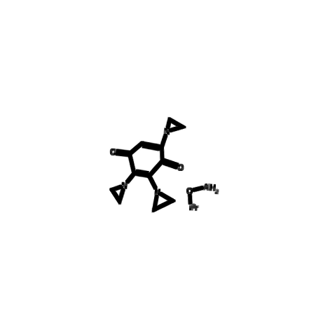 CC(C)[O][AlH2].O=C1C=C(N2CC2)C(=O)C(N2CC2)=C1N1CC1